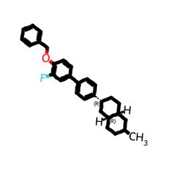 CC1CC[C@@H]2C[C@H](c3ccc(-c4ccc(OCc5ccccc5)c(F)c4)cc3)CC[C@@H]2C1